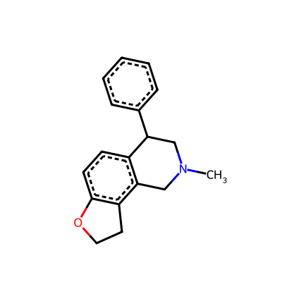 CN1Cc2c(ccc3c2CCO3)C(c2ccccc2)C1